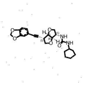 O=C(NC1CCCCC1)N[C@H]1CO[C@H]2[C@@H]1OC[C@@H]2C#Cc1ccc2c(c1)OCO2